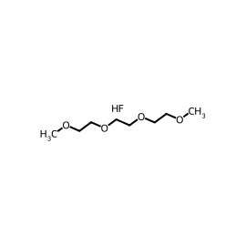 COCCOCCOCCOC.F